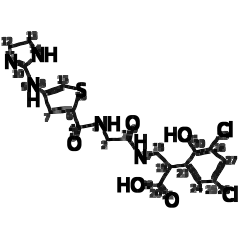 O=C(CNC(=O)c1cc(NC2=NCCN2)cs1)NCC(C(=O)O)c1cc(Cl)cc(Cl)c1O